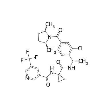 C[C@H](NC(=O)C1(NC(=O)c2cncc(C(F)(F)F)c2)CC1)c1ccc(C(=O)N2[C@H](C)CC[C@@H]2C)cc1Cl